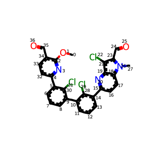 COc1nc(-c2cccc(-c3cccc(-c4ccc5c(n4)c(Cl)c(C=O)n5C)c3Cl)c2Cl)ccc1C=O